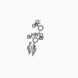 O=C(Nc1c(Br)cc(SC(F)(F)C(F)(F)C(F)(F)F)cc1Br)c1cccc([N+](=O)[O-])c1